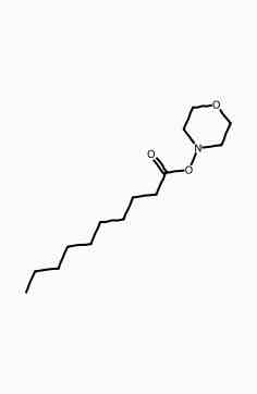 CCCCCCCCCC(=O)ON1CCOCC1